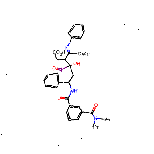 CCCN(CCC)C(=O)c1cccc(C(=O)NC(CC(O)(P=O)C(CC(=O)O)C(=Nc2ccccc2)OC)c2ccccc2)c1